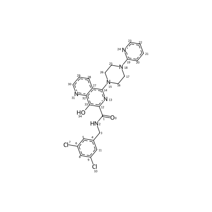 O=C(NCc1cc(Cl)cc(Cl)c1)c1nc(N2CCN(c3ccccn3)CC2)c2cccnc2c1O